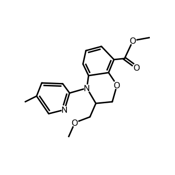 COCC1COc2c(C(=O)OC)cccc2N1c1ccc(C)cn1